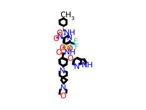 C[C@H]1CC[C@@H](CNc2nc(C(F)(F)F)c(S(=O)(=O)NC(=O)c3ccc(N4CCC5(CC4)CC(N4CCOCC4)C5)cc3Oc3cnc4[nH]ccc4c3)cc2[N+](=O)[O-])CC1